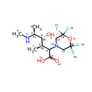 CN[C@@H](C)[C@H](O)[C@H](C)C(C(=O)O)N1CC(F)(F)OC(F)(F)C1